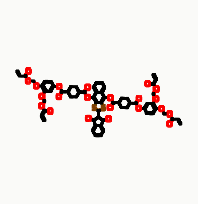 C=CC(=O)OCOc1ccc(OC(=O)C2CCC(C(=O)Oc3c4c(c(OC(=O)C5CCC(C(=O)Oc6ccc(OCOC(=O)C=C)c(OCOC(=O)C=C)c6)CC5)c5ccccc35)SC(C3C(=O)c5ccccc5C3=O)S4)CC2)cc1OCOC(=O)C=C